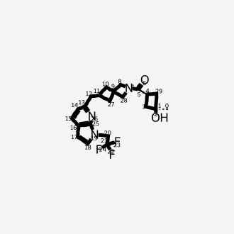 C[C@]1(O)C[C@@H](C(=O)N2CC3(CC(Cc4ccc5ccn(CC(F)(F)F)c5n4)C3)C2)C1